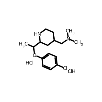 CC(Oc1ccc(Cl)cc1)C1CC(CN(C)C)CCN1.Cl.Cl